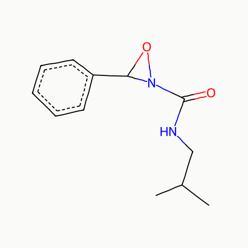 CC(C)CNC(=O)N1OC1c1ccccc1